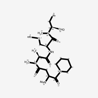 CCCOC[C@H](NC(=O)[C@H](C)N(C)C(=O)CC(NC)C(=O)N1CCCCC1)C(=O)N(C)[C@H](C=O)CC(C)C